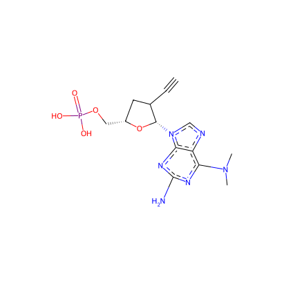 C#CC1C[C@@H](COP(=O)(O)O)O[C@H]1n1cnc2c(N(C)C)nc(N)nc21